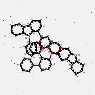 c1ccc(-c2ccccc2-c2c(-c3ccccc3)cccc2N(c2ccc(-c3cccc4c5ccccc5n(-c5ccccc5)c34)cc2)c2ccc3oc4ccccc4c3c2)cc1